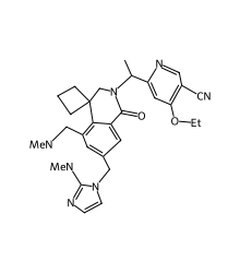 CCOc1cc(C(C)N2CC3(CCC3)c3c(CNC)cc(Cn4ccnc4NC)cc3C2=O)ncc1C#N